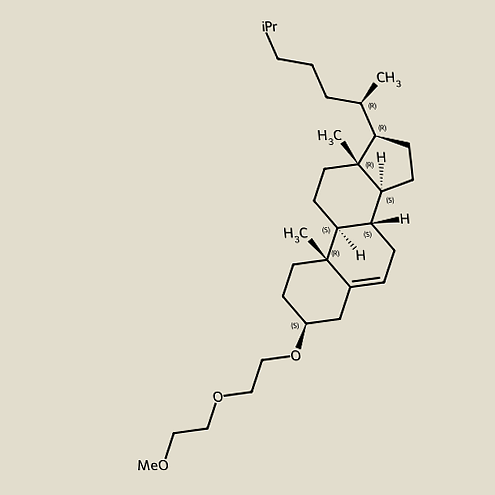 COCCOCCO[C@H]1CC[C@@]2(C)C(=CC[C@H]3[C@@H]4CC[C@H]([C@H](C)CCCC(C)C)[C@@]4(C)CC[C@@H]32)C1